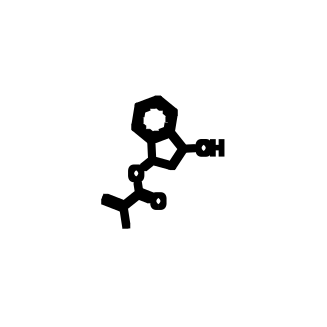 C=C(C)C(=O)OC1CC(O)c2ccccc21